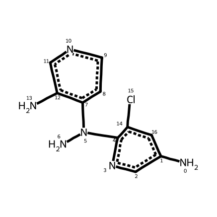 Nc1cnc(N(N)c2ccncc2N)c(Cl)c1